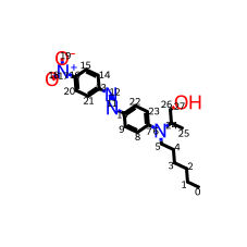 CCCCCCN(c1ccc(N=Nc2ccc([N+](=O)[O-])cc2)cc1)C(C)CO